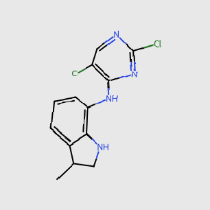 CC1CNc2c(Nc3nc(Cl)ncc3Cl)cccc21